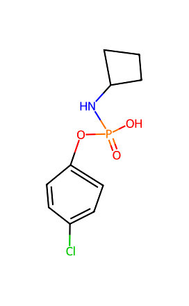 O=P(O)(NC1CCC1)Oc1ccc(Cl)cc1